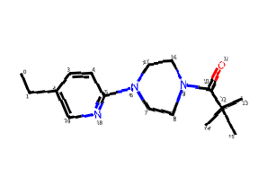 CCc1ccc(N2CCN(C(=O)C(C)(C)C)CC2)nc1